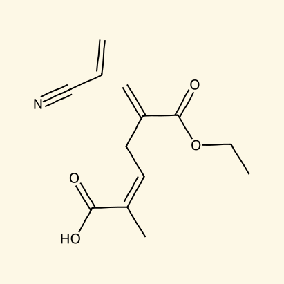 C=C(CC=C(C)C(=O)O)C(=O)OCC.C=CC#N